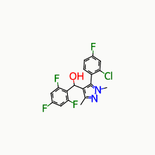 Cc1nn(C)c(-c2ccc(F)cc2Cl)c1C(O)c1c(F)cc(F)cc1F